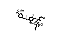 C=C/C=C\C(=C)N(Cc1cc(OC)c(CNCc2ccc(C(=O)OC)cc2)cc1Cl)N(C)C(C)(C(=C)Cl)[C@H](C)CC=C